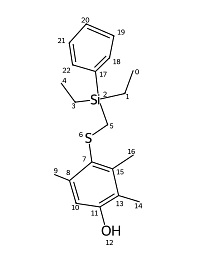 CC[Si](CC)(CSc1c(C)cc(O)c(C)c1C)c1ccccc1